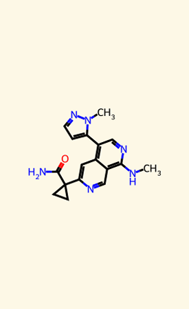 CNc1ncc(-c2ccnn2C)c2cc(C3(C(N)=O)CC3)ncc12